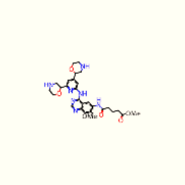 COC(=O)CCCC(=O)Nc1cc2c(Nc3cc(C4CNCCO4)cc(C4CNCCO4)n3)ncnc2cc1OC